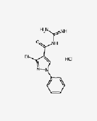 CCc1nn(-c2ccccc2)cc1C(=O)NC(=N)N.Cl